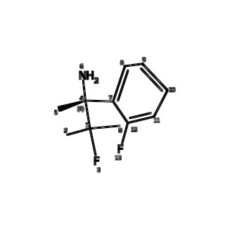 CC(C)(F)[C@](C)(N)c1ccccc1F